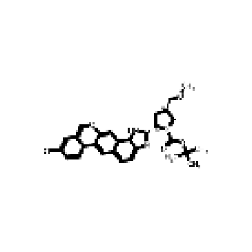 COC[C@@H]1C[C@@H](C2=NC3=CC=C4C=C5C(=CC4C3N2)OC=C2C=C(Cl)C=CC25)N(C(=O)OC(C)(C)C)C1